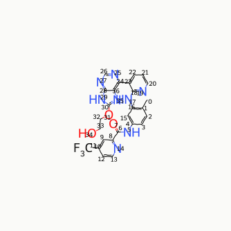 Cc1ccc(NC(=O)c2cc(C(F)(F)F)ccn2)cc1Nc1ncccc1-c1ncnc2[nH]c(OCCO)nc12